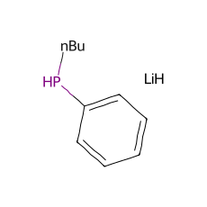 CCCCPc1ccccc1.[LiH]